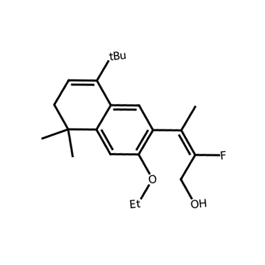 CCOc1cc2c(cc1/C(C)=C(/F)CO)C(C(C)(C)C)=CCC2(C)C